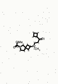 CCC(CCN(C)C1CC2(CCN(C(=O)OC)C2)C1)C1CCC1